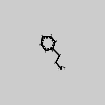 [CH2]C(C)[CH]Cc1ccccc1